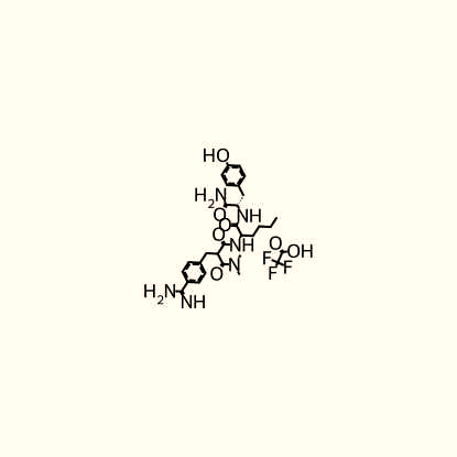 CCCCC(NC(=O)C(Cc1ccc(C(=N)N)cc1)C(=O)N(C)C)C(=O)N[C@@H](Cc1ccc(O)cc1)C(N)=O.O=C(O)C(F)(F)F